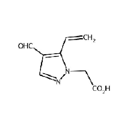 C=Cc1c(C=O)cnn1CC(=O)O